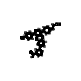 CC(=O)c1cccc(-c2ccc(Oc3c(N4CCN(CCO)CC4)cnn(-c4ccc(Cl)cc4)c3=O)cc2)c1